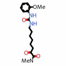 CNC(=O)C(=O)CCCCCCNC(=O)Nc1ccccc1OC